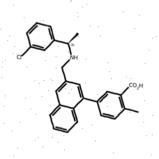 Cc1ccc(-c2cc(CN[C@H](C)c3cccc(Cl)c3)cc3ccccc23)cc1C(=O)O